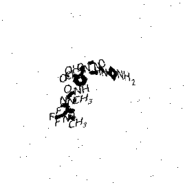 CCn1cc(-c2cnc(C(=O)Nc3ccc(C(=O)N4CCN(C(=O)NC5CC(N)C5)CC4)c(Cl)c3)n2C)c(C(F)(F)F)n1.O=CO